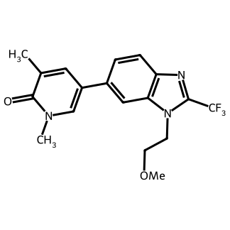 COCCn1c(C(F)(F)F)nc2ccc(-c3cc(C)c(=O)n(C)c3)cc21